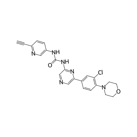 C#Cc1ccc(NC(=O)Nc2cncc(-c3ccc(N4CCOCC4)c(Cl)c3)n2)cn1